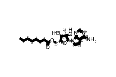 CCCCCCCC(=O)OC[C@H]1O[C@@H](n2ccc3c(N)ncnc32)[C@](C)(O)[C@@H]1O